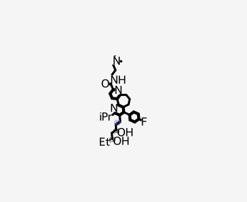 CC[C@H](O)C[C@H](O)/C=C/c1c(C(C)C)nc2c(c1-c1ccc(F)cc1)CCCc1nc(C(=O)NCCCN(C)C)ccc1-2